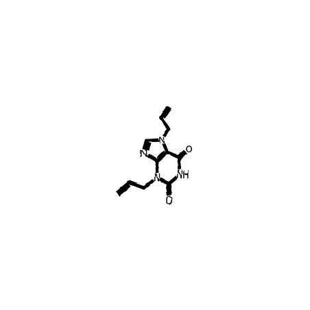 C=CCn1cnc2c1c(=O)[nH]c(=O)n2CC=C